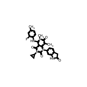 Cc1ccc(Nc2c3c(=O)n(C4CC4)c(=O)n(-c4ccc5c(c4)NC(=O)C5)c3c(C)c(=O)n2C)c(F)c1